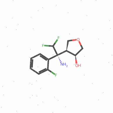 N[C@](c1ccccc1F)(C(F)F)[C@H]1COC[C@H]1O